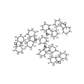 c1ccc2c(c1)oc1cccc(-c3cccc4c3c3ccccc3n4-c3cc(-n4c5ccccc5c5c(-c6cccc7oc8ccccc8c67)cccc54)cc(-n4c5ccccc5c5c(-c6cccc7oc8ccccc8c67)cccc54)c3)c12